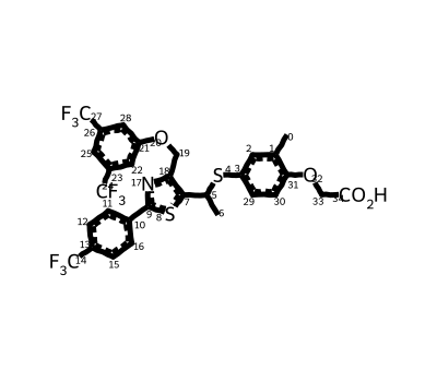 Cc1cc(SC(C)c2sc(-c3ccc(C(F)(F)F)cc3)nc2COc2cc(C(F)(F)F)cc(C(F)(F)F)c2)ccc1OCC(=O)O